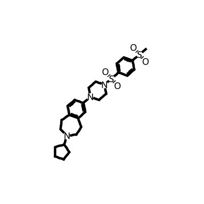 CS(=O)(=O)c1ccc(S(=O)(=O)N2CCN(c3ccc4c(c3)CCN(C3CCCC3)CC4)CC2)cc1